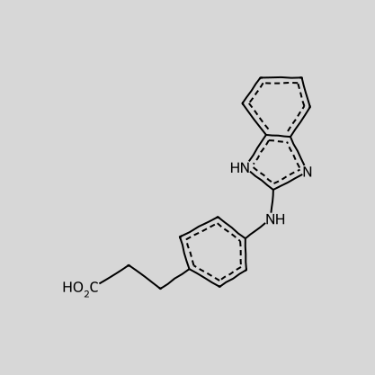 O=C(O)CCc1ccc(Nc2nc3ccccc3[nH]2)cc1